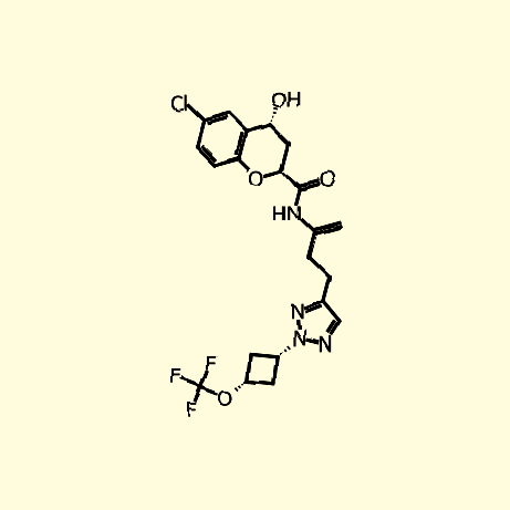 C=C(CCc1cnn([C@H]2C[C@@H](OC(F)(F)F)C2)n1)NC(=O)[C@@H]1C[C@@H](O)c2cc(Cl)ccc2O1